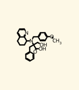 COc1ccc(CN(C2CCCc3cccnc32)C(CO)(Cc2ccccc2)C(=O)O)cc1